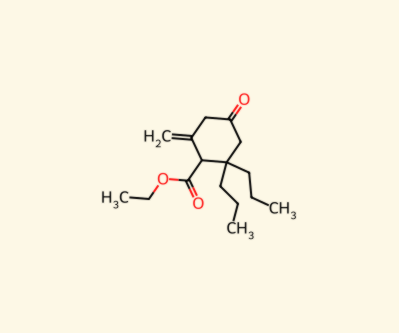 C=C1CC(=O)CC(CCC)(CCC)C1C(=O)OCC